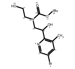 Cc1cc(Br)cnc1C(O)CN(CCO)C(=O)OC(C)(C)C